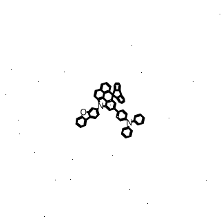 c1ccc(N(c2ccccc2)c2ccc(-c3cc4c5c6c7c(cccc7ccc6n(-c6ccc7c(c6)oc6ccccc67)c5c3)C43c4ccccc4-c4ccccc43)cc2)cc1